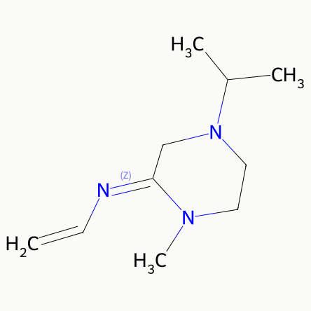 C=C/N=C1/CN(C(C)C)CCN1C